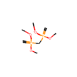 C=P(CP(=C)(OC)OC)(OC)OC